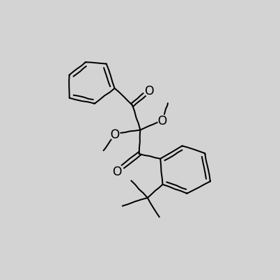 COC(OC)(C(=O)c1ccccc1)C(=O)c1ccccc1C(C)(C)C